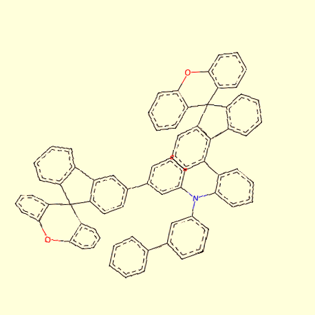 c1ccc(-c2cccc(N(c3cccc(-c4ccc5c(c4)-c4ccccc4C54c5ccccc5Oc5ccccc54)c3)c3ccccc3-c3cccc4c3-c3ccccc3C43c4ccccc4Oc4ccccc43)c2)cc1